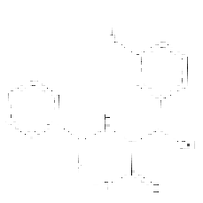 COc1cccc(C(O)C(NC(=O)c2ccccc2)C(=O)O)c1